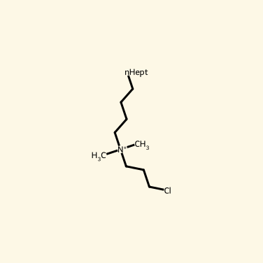 CCCCCCCCCCC[N+](C)(C)CCCCl